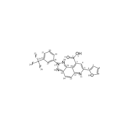 O=C(O)c1cc(-c2ccco2)nc2ccc3nn(-c4cccc(C(F)(F)F)c4)nc3c12